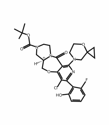 CC(C)(C)OC(=O)N1CCN2C(=O)c3c(N4CCOC5(CC5)C4)nc(-c4c(O)cccc4F)c(Cl)c3OC[C@H]2C1